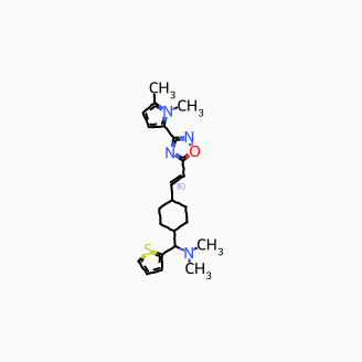 Cc1ccc(-c2noc(/C=C/C3CCC(C(c4cccs4)N(C)C)CC3)n2)n1C